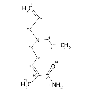 C=CCN(CC=C)CCC=C(C)C(N)=O